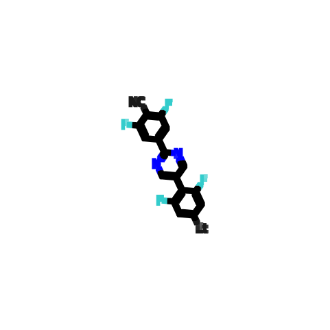 CCc1cc(F)c(-c2cnc(-c3cc(F)c(C#N)c(F)c3)nc2)c(F)c1